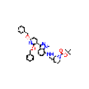 Cn1nc(-c2ccc(OCc3ccccc3)nc2OCc2ccccc2)c2cccc(NC[C@@H]3CCCN(C(=O)OC(C)(C)C)C3)c21